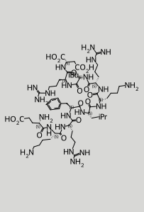 CC[C@H](C)[C@H](NC(=O)[C@H](CCCNC(=N)N)NC(=O)[C@H](CCCCN)NC(=O)[C@H](CC(C)C)NC(=O)[C@H](Cc1ccccc1)NC(=O)[C@H](CCCNC(=N)N)NC(=O)[C@H](CCCCN)NC(=O)[C@@H](N)CCC(=O)O)C(=O)N[C@@H](CCCNC(=N)N)C(=O)N[C@@H](CC(=O)O)C(=O)O